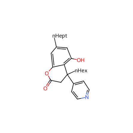 CCCCCCCc1cc(O)c2c(c1)OC(=O)CC2(CCCCCC)c1ccncc1